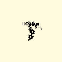 Cc1ccc(-c2cccc(OCC[C@H]([C@H](C)O)n3cnc(C(N)=O)c3)c2)cc1